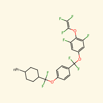 CCCC1CCC(C(F)(F)Oc2ccc(C(F)(F)Oc3cc(F)c(OC(F)=C(F)F)c(F)c3)cc2)CC1